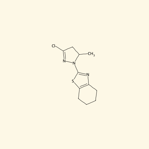 CC1CC(Cl)=NN1c1nc2c(s1)CCCC2